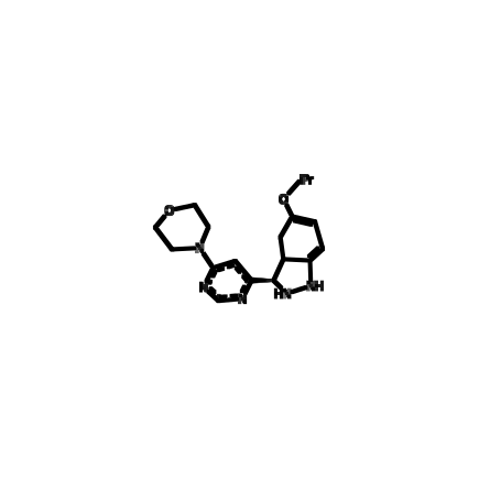 CC(C)OC1=CC=C2NN[C@@H](c3cc(N4CCOCC4)ncn3)C2C1